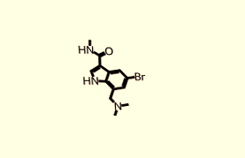 CNC(=O)c1c[nH]c2c(CN(C)C)cc(Br)cc12